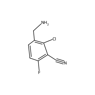 N#Cc1c(F)ccc(CN)c1Cl